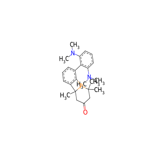 CN(C)c1cccc(N(C)C)c1-c1cccc2c1P1C(C)(C)CC(=O)CC21C